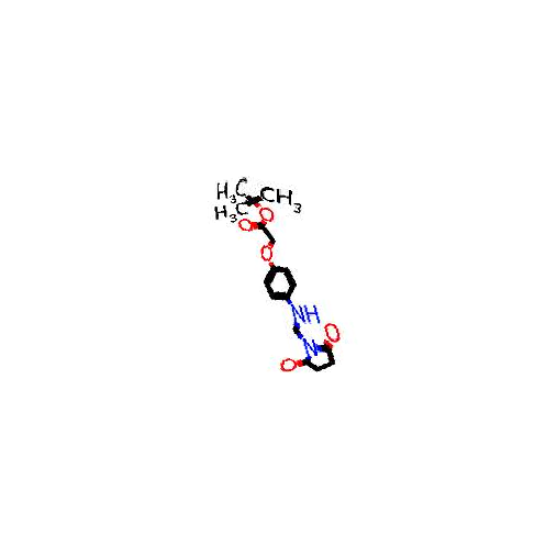 CC(C)(C)OC(=O)COc1ccc(NCN2C(=O)CCC2=O)cc1